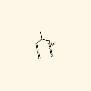 CC(N=C=O)N=C=O.O